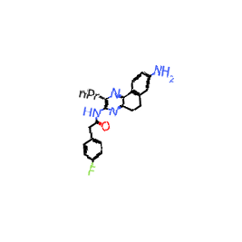 CCCc1nc2c(nc1NC(=O)Cc1ccc(F)cc1)CCc1cc(N)ccc1-2